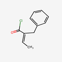 C/C=C(\Cc1ccccc1)C(=O)Cl